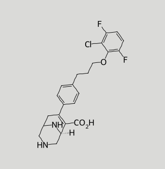 O=C(O)C1=C(c2ccc(CCCOc3c(F)ccc(F)c3Cl)cc2)CC2CNC[C@H]1N2